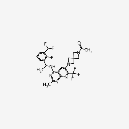 CC(=O)N1CC2(C1)CN(c1cc3c(NC(C)c4cccc(C(F)F)c4F)nc(C)nc3nc1C(F)(F)F)C2